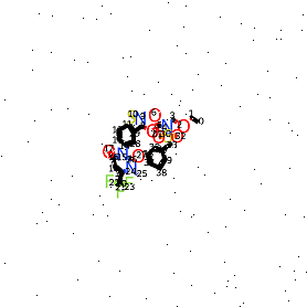 CCOCN(C(=O)Oc1nsc2ccc(-n3c(=O)cc(C(F)(F)F)n(C)c3=O)cc12)S(=O)(=O)Cc1ccccc1